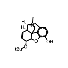 CN1CCC23c4c5ccc(O)c4OC2[C@@H](OC(C)(C)C)C=C[C@H]3[C@H]1C5